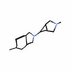 CC1CC2CN(C3C4CN(C)CC43)CC2C1